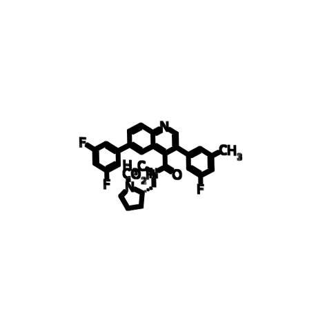 Cc1cc(F)cc(-c2cnc3ccc(-c4cc(F)cc(F)c4)cc3c2C(=O)N(C)C[C@@H]2CCCN2C(=O)O)c1